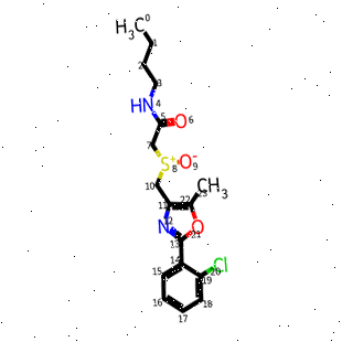 CCCCNC(=O)C[S+]([O-])Cc1nc(-c2ccccc2Cl)oc1C